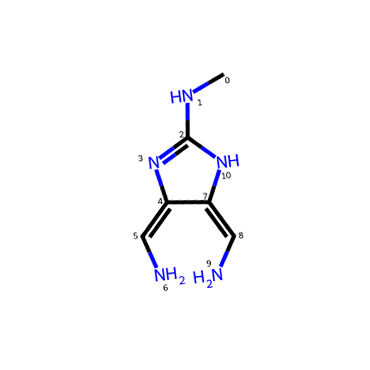 CNc1nc(=C/N)/c(=C\N)[nH]1